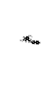 Cc1cc(CC(=O)Nc2ccc(-c3ccc(F)cc3)cn2)c2c(c1)C(=O)N(C)C2=O